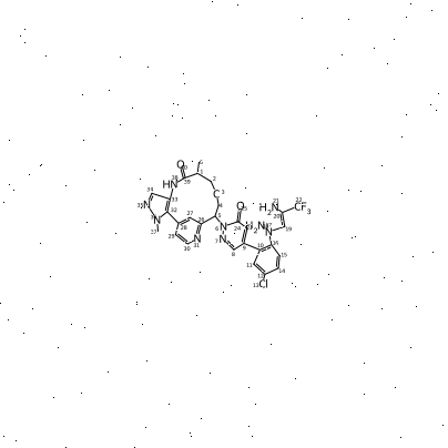 CC1CCCC(n2ncc(-c3cc(Cl)ccc3N(N)/C=C(\N)C(F)(F)F)cc2=O)c2cc(ccn2)-c2c(cnn2C)NC1=O